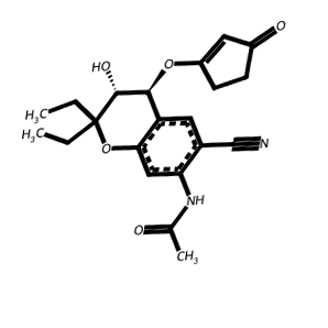 CCC1(CC)Oc2cc(NC(C)=O)c(C#N)cc2[C@H](OC2=CC(=O)CC2)[C@H]1O